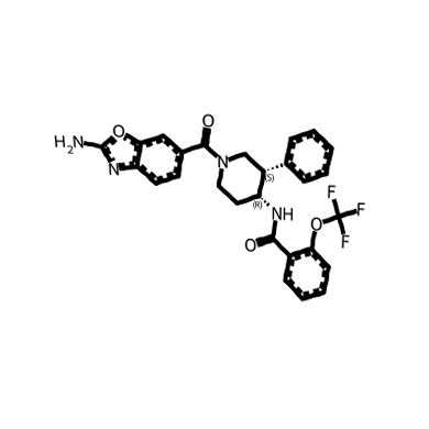 Nc1nc2ccc(C(=O)N3CC[C@@H](NC(=O)c4ccccc4OC(F)(F)F)[C@@H](c4ccccc4)C3)cc2o1